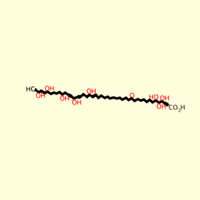 C#CC(O)/C=C/C(O)CCCCC(O)CC#CC(O)C#CCCC(O)/C=C/CCCCCCCCCCCC(=O)CCCCCCCC(O)C(O)C(O)C#CC(=O)O